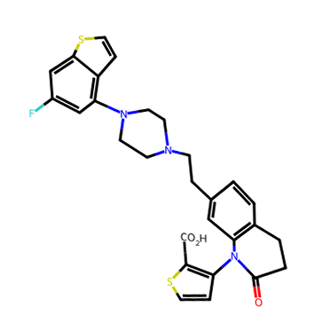 O=C(O)c1sccc1N1C(=O)CCc2ccc(CCN3CCN(c4cc(F)cc5sccc45)CC3)cc21